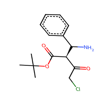 CC(C)(C)OC(=O)[C@H](C(=O)CCl)C(N)c1ccccc1